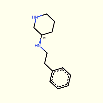 c1ccc(CCN[C@@H]2CCCNC2)cc1